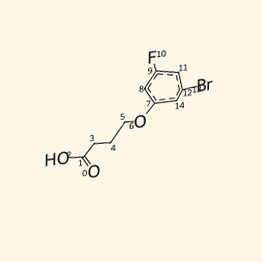 O=C(O)CCCOc1cc(F)cc(Br)c1